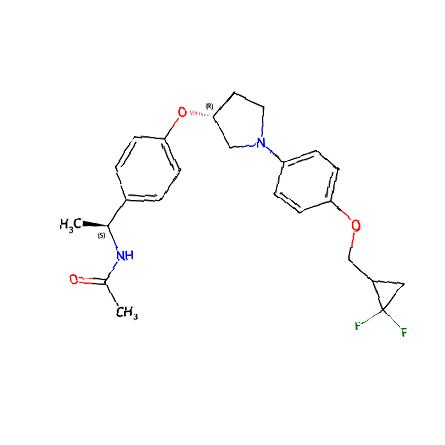 CC(=O)N[C@@H](C)c1ccc(O[C@@H]2CCN(c3ccc(OCC4CC4(F)F)cc3)C2)cc1